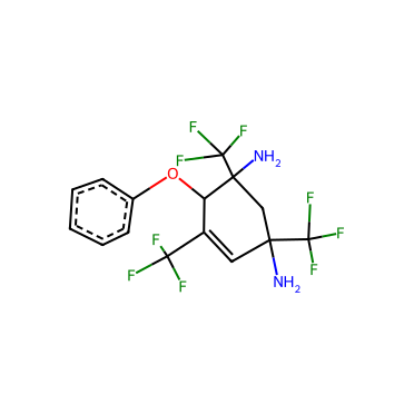 NC1(C(F)(F)F)C=C(C(F)(F)F)C(Oc2ccccc2)C(N)(C(F)(F)F)C1